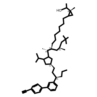 C#Cc1ccc(-c2cccc([C@H](CCC)CC[C@H]3CC(C(C)C)C([C@H](C)[C@@H](CCCCCCCC4C[C@@]4(C)C(C)O)C[C@H](C)CC(C)(C)C)C3)c2)cc1